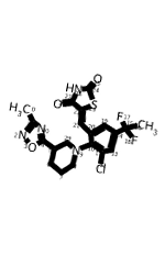 Cc1noc(C2CCCN(c3c(Cl)cc(C(C)(F)F)cc3/C=C3\SC(=O)NC3=O)C2)n1